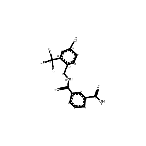 O=C(O)c1cccc(C(=O)NCc2ccc(Cl)cc2C(F)(F)F)c1